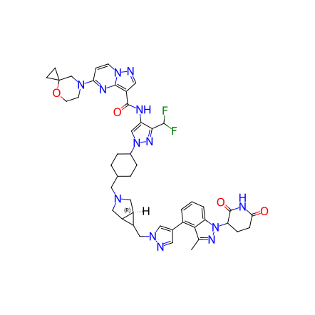 Cc1nn(C2CCC(=O)NC2=O)c2cccc(-c3cnn(CC4C5CN(CC6CCC(n7cc(NC(=O)c8cnn9ccc(N%10CCOC%11(CC%11)C%10)nc89)c(C(F)F)n7)CC6)C[C@H]54)c3)c12